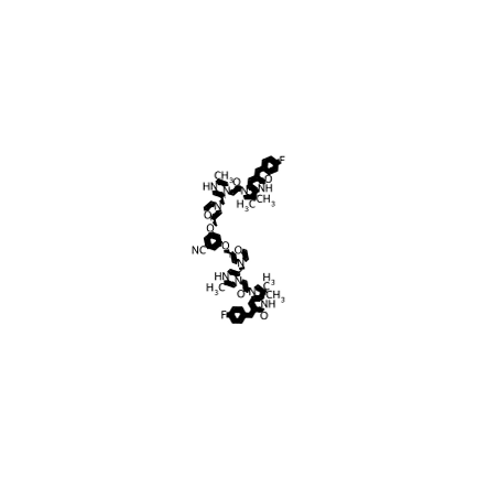 C[C@@H]1CN(CC(=O)N2CC(C)(C)c3[nH]c(=O)c(Cc4ccc(F)cc4)cc32)[C@@H](CN2CCO[C@H](COc3cc(C#N)cc(OC[C@@H]4CN(C[C@H]5CN[C@H](C)CN5CC(=O)N5CC(C)(C)c6[nH]c(=O)c(Cc7ccc(F)cc7)cc65)CCO4)c3)C2)CN1